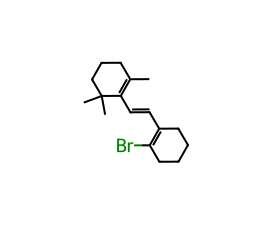 CC1=C(/C=C/C2=C(Br)CCCC2)C(C)(C)CCC1